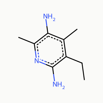 CCc1c(N)nc(C)c(N)c1C